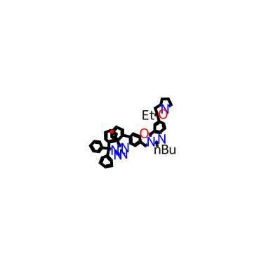 CCCCc1nc2ccc(C3(CC)CC4CCCN4O3)cc2c(=O)n1Cc1ccc(-c2ccccc2-c2nnnn2C(c2ccccc2)(c2ccccc2)c2ccccc2)cc1